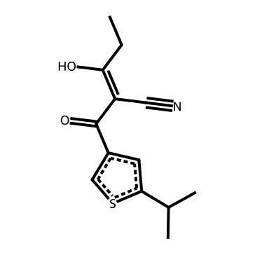 CC/C(O)=C(\C#N)C(=O)c1csc(C(C)C)c1